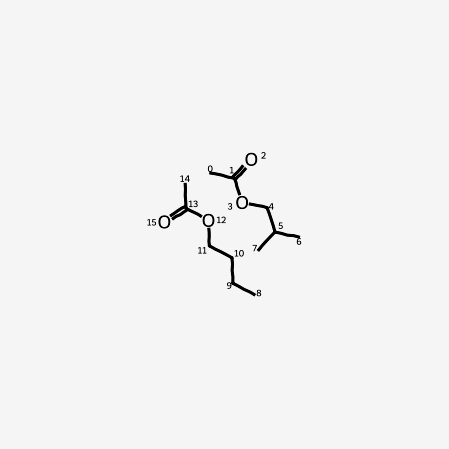 CC(=O)OCC(C)C.CCCCOC(C)=O